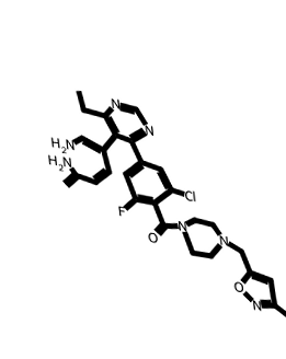 C=C(N)/C=C\C(=C/N)c1c(CC)ncnc1-c1cc(F)c(C(=O)N2CCN(Cc3cc(C)no3)CC2)c(Cl)c1